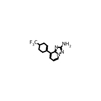 Nc1nc2c(C3=CCC(C(F)(F)F)CC3)cccn2n1